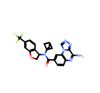 Nc1nc2ccc(C(=O)N(C3COc4cc(C(F)(F)F)ccc43)C34CC(C3)C4)cc2n2cnnc12